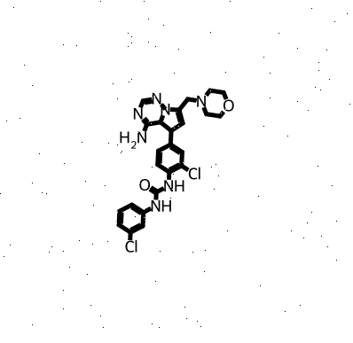 NC1=NC=NN2C(CN3CCOCC3)=CC(c3ccc(NC(=O)Nc4cccc(Cl)c4)c(Cl)c3)C12